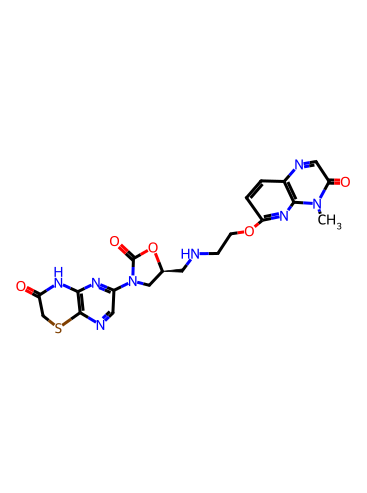 Cn1c(=O)cnc2ccc(OCCNC[C@H]3CN(c4cnc5c(n4)NC(=O)CS5)C(=O)O3)nc21